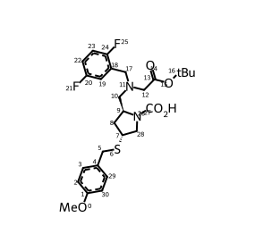 COc1ccc(CS[C@@H]2C[C@@H](CN(CC(=O)OC(C)(C)C)Cc3cc(F)ccc3F)N(C(=O)O)C2)cc1